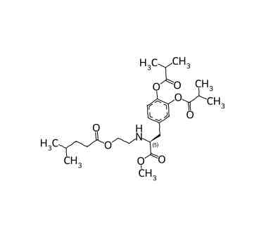 COC(=O)[C@H](Cc1ccc(OC(=O)C(C)C)c(OC(=O)C(C)C)c1)NCCOC(=O)CCC(C)C